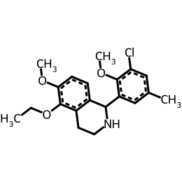 CCOc1c(OC)ccc2c1CCNC2c1cc(C)cc(Cl)c1OC